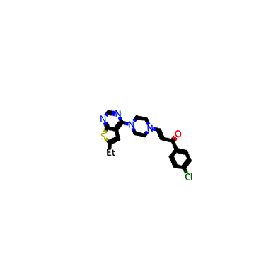 CCc1cc2c(N3CCN(C=CC(=O)c4ccc(Cl)cc4)CC3)ncnc2s1